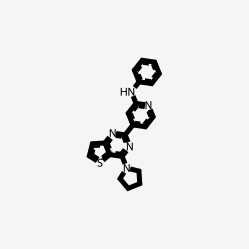 c1ccc(Nc2cc(-c3nc(N4CCCC4)c4sccc4n3)ccn2)cc1